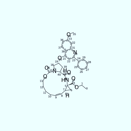 CCOC(=O)[C@@]12C[C@H]1/C=C\CCCCOC(=O)N1C[C@H](Oc3cc(-c4ccccc4)nc4cc(OC)ccc34)C[C@H]1C(=O)N2